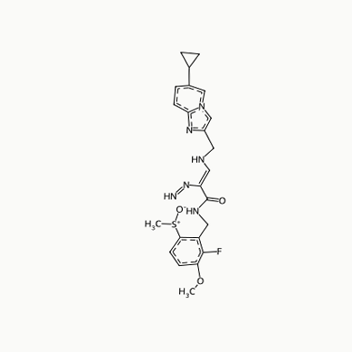 COc1ccc([S+](C)[O-])c(CNC(=O)/C(=C/NCc2cn3cc(C4CC4)ccc3n2)N=N)c1F